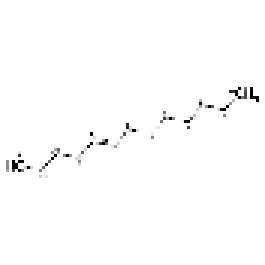 CCCCCCCC=CCCCO